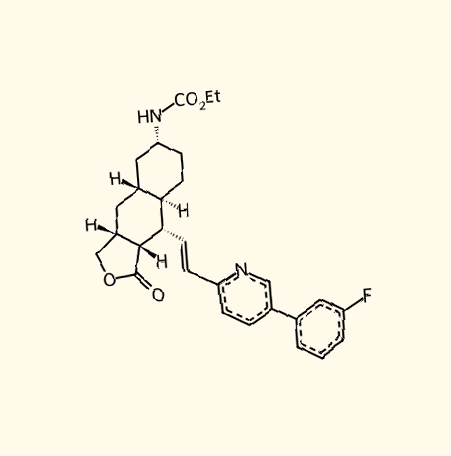 CCOC(=O)N[C@@H]1CC[C@@H]2[C@@H](C1)C[C@H]1COC(=O)[C@H]1[C@H]2/C=C/c1ccc(-c2cccc(F)c2)cn1